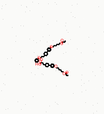 C=CC(=O)OCCCCCCOc1ccc(C2CCC(CCC(=O)Oc3ccccc3OC(O)CCC3CCC(c4ccc(OCCCCCCOC(=O)C=C)cc4)CC3)CC2)cc1